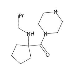 CC(C)CNC1(C(=O)N2CC[N]CC2)CCCC1